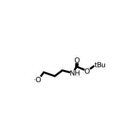 CC(C)(C)OC(=O)NCCC[O]